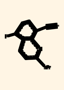 [C]#Cc1ccc(F)c2ccc(CCC)nc12